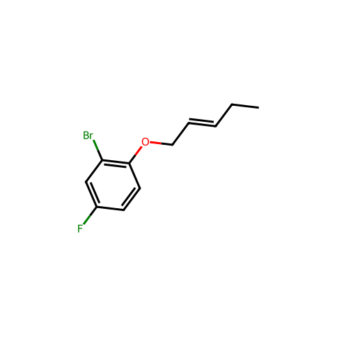 CCC=CCOc1ccc(F)cc1Br